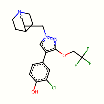 Oc1ccc(-c2cn(CC3CN4CCC3CC4)nc2OCC(F)(F)F)cc1Cl